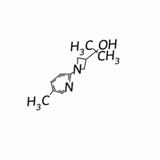 Cc1ccc(N2CC(C(C)(C)O)C2)nc1